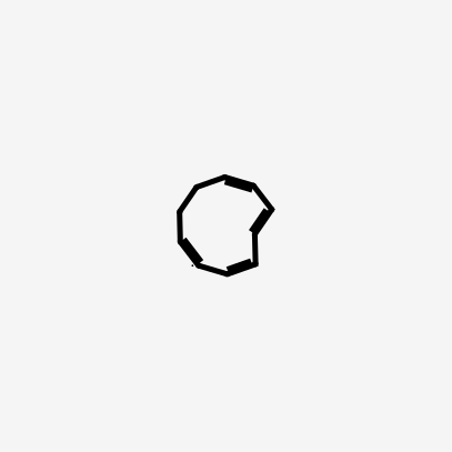 [C]1=C/CC\C=C/C=C/C=C\1